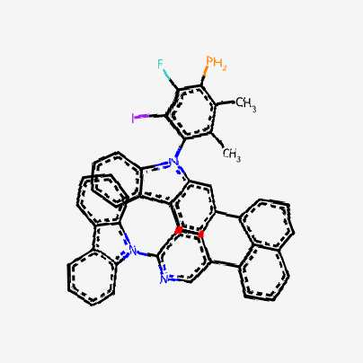 Cc1c(C)c(-n2c3ccccc3c3ccc(-c4cccc5cccc(-c6ccc(-n7c8ccccc8c8ccccc87)nc6)c45)cc32)c(I)c(F)c1P